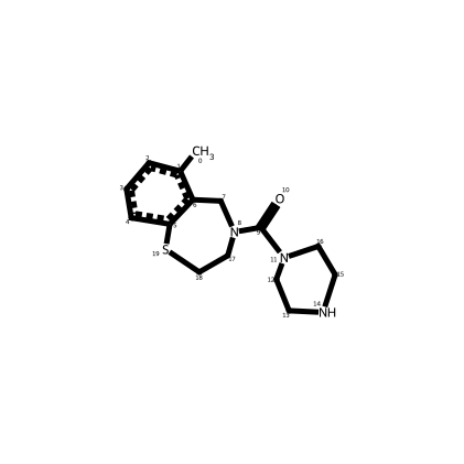 Cc1cccc2c1CN(C(=O)N1CCNCC1)CCS2